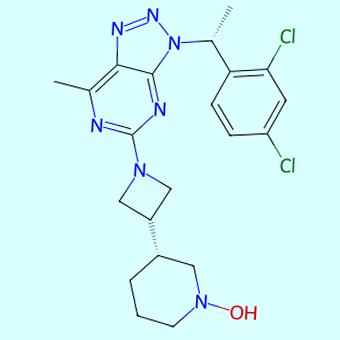 Cc1nc(N2CC([C@H]3CCCN(O)C3)C2)nc2c1nnn2[C@H](C)c1ccc(Cl)cc1Cl